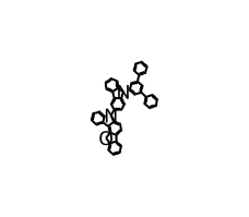 c1ccc(-c2cc(-c3ccccc3)cc(-n3c4ccccc4c4cc(-n5c6ccccc6c6c7oc8ccccc8c7ccc65)ccc43)c2)cc1